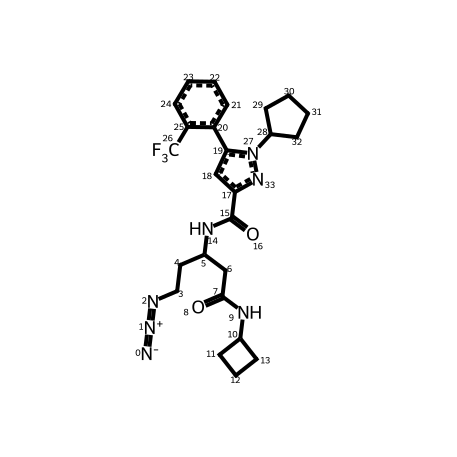 [N-]=[N+]=NCCC(CC(=O)NC1CCC1)NC(=O)c1cc(-c2ccccc2C(F)(F)F)n(C2CCCC2)n1